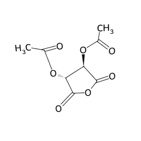 CC(=O)O[C@H]1C(=O)OC(=O)[C@@H]1OC(C)=O